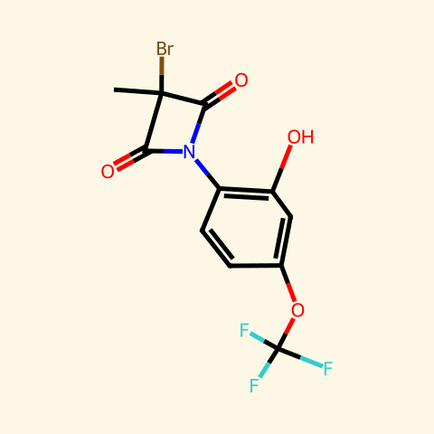 CC1(Br)C(=O)N(c2ccc(OC(F)(F)F)cc2O)C1=O